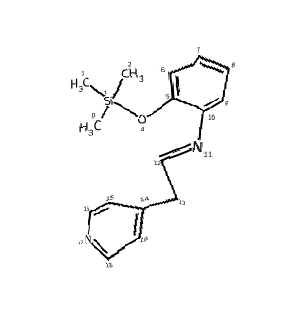 C[Si](C)(C)Oc1ccccc1N=CCc1ccncc1